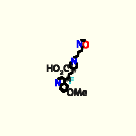 COc1ccc2nccc([C@@H](F)CC[C@@H]3CCN(CCCCc4ncco4)C[C@@H]3C(=O)O)c2c1